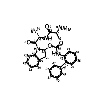 CN[C@@H](C)C(=O)N[C@H](C(=O)N1c2ncccc2C[C@@H]1OC(=O)Nc1ccccc1-c1ccccc1)C(C)C